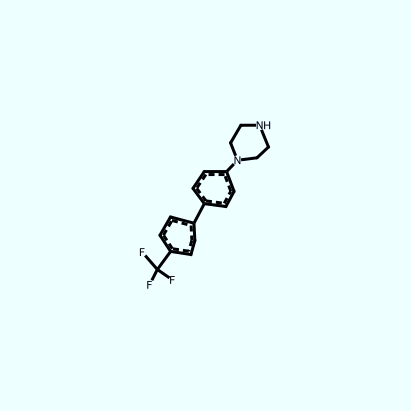 FC(F)(F)c1ccc(-c2ccc(N3CCNCC3)cc2)cc1